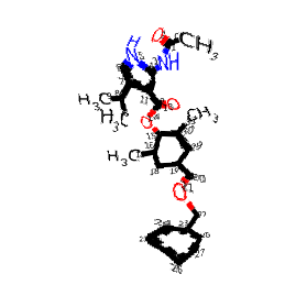 CC(=O)Nc1[nH]cc(C(C)C)c1C(=O)OC1C(C)CC(COCc2ccccc2)CC1C